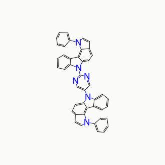 c1ccc(-n2ccc3ccc4c(c5ccccc5n4-c4cnc(-n5c6ccccc6c6c7c(ccc65)ccn7-c5ccccc5)nc4)c32)cc1